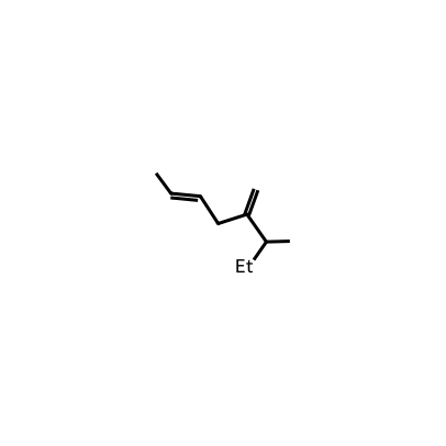 C=C(CC=CC)C(C)CC